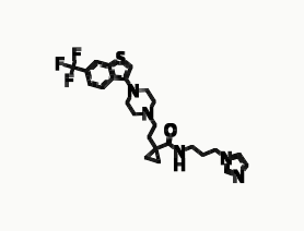 O=C(NCCCn1ccnc1)C1(CCN2CCN(c3csc4cc(C(F)(F)F)ccc34)CC2)CC1